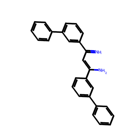 N=C(/C=C(\N)c1cccc(-c2ccccc2)c1)c1cccc(-c2ccccc2)c1